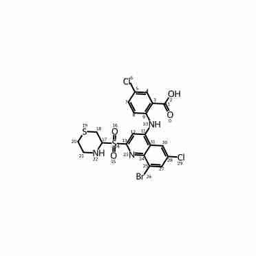 O=C(O)c1cc(Cl)ccc1Nc1cc(S(=O)(=O)C2CSCCN2)nc2c(Br)cc(Cl)cc12